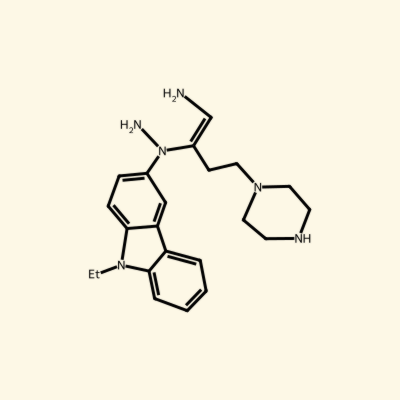 CCn1c2ccccc2c2cc(N(N)/C(=C\N)CCN3CCNCC3)ccc21